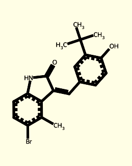 Cc1c(Br)ccc2c1C(=Cc1ccc(O)c(C(C)(C)C)c1)C(=O)N2